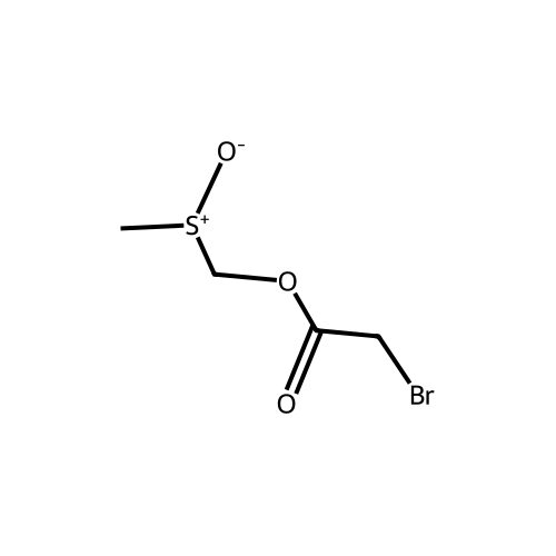 C[S+]([O-])COC(=O)CBr